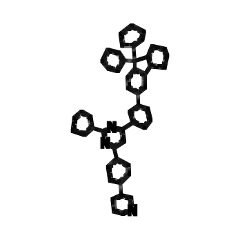 c1ccc(-c2nc(-c3ccc(-c4cccnc4)cc3)cc(-c3cccc(-c4ccc5c(c4)-c4ccccc4C5(c4ccccc4)c4ccccc4)c3)n2)cc1